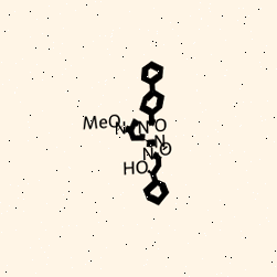 CON=C1C[C@@H](c2noc(C[C@H](O)c3ccccc3)n2)N(C(=O)c2ccc(-c3ccccc3)cc2)C1